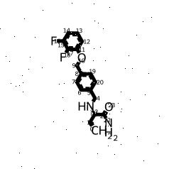 C=C[C@@H](NCc1ccc(COc2cccc(F)c2F)cc1)C(N)=O